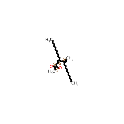 CCCCCCCCCCCCc1cc(C)sc1-c1sc(C2=C3C(=O)SC(C)=C3C(=O)S2)cc1CCCCCCCCCCCC